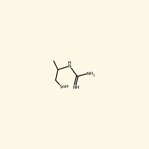 CC([CH2][SnH])NC(=N)N